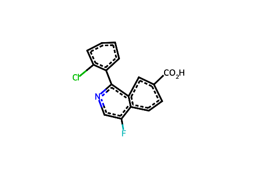 O=C(O)c1ccc2c(F)cnc(-c3ccccc3Cl)c2c1